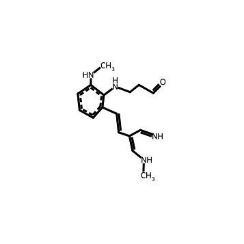 CN/C=C(C=N)/C=C/c1cccc(NC)c1NCCC=O